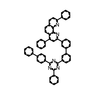 c1ccc(-c2ccc(-c3nc(-c4ccccc4)nc(-c4cccc(-c5cccc(-c6cc(-c7ccccc7)c7ccc8ccc(-c9ccccc9)nc8c7n6)c5)c4)n3)cc2)cc1